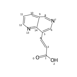 O=C(O)C=Cc1cncc2cccnc12